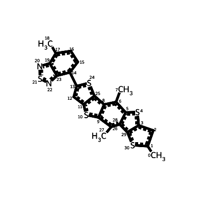 Cc1cc2sc3c(C)c4c(sc5cc(-c6ccc(C)c7nsnc67)sc54)c(C)c3c2s1